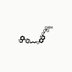 COC(=O)OCOc1ccc2ccc(OCCCCN3CCN(c4cccc5c4CCS5)CC3)cc2n1